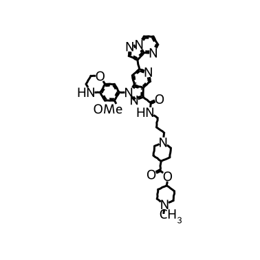 COc1cc2c(cc1-n1nc(C(=O)NCCCN3CCC(C(=O)OC4CCN(C)CC4)CC3)c3cnc(-c4cnn5cccnc45)cc31)OCCN2